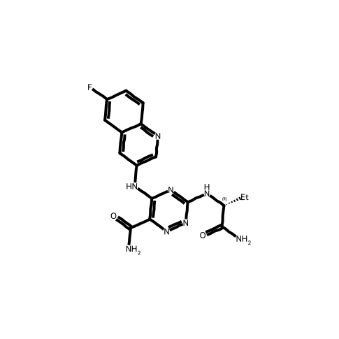 CC[C@@H](Nc1nnc(C(N)=O)c(Nc2cnc3ccc(F)cc3c2)n1)C(N)=O